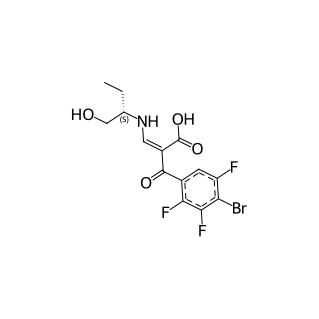 CC[C@@H](CO)NC=C(C(=O)O)C(=O)c1cc(F)c(Br)c(F)c1F